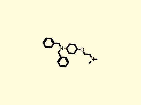 CN(C)CCO[C@H]1CC[C@H](N(Cc2ccccc2)Cc2ccccc2)CC1